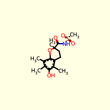 Cc1c(C)c2c(c(C)c1O)CCC(C)(C(=O)NS(C)(=O)=O)O2